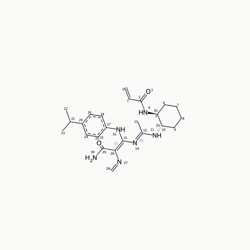 C=CC(=O)N[C@H]1CCCC[C@@H]1N/C(C)=N/C(Nc1ccc(C(C)C)cc1)=C(\N=C)C(N)=O